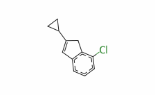 Clc1cccc2c1CC(C1CC1)=C2